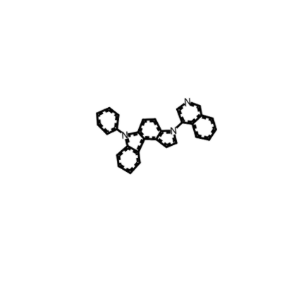 c1ccc(-n2c3ccccc3c3c4ccn(-c5cncc6ccccc56)c4ccc32)cc1